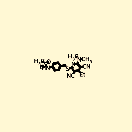 CCc1c(C#N)c(SCc2ccc(NS(C)(=O)=O)cc2)nc(N(C)C)c1C#N